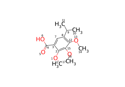 COc1c(C(=O)O)cc(C(C)C)c(OC)c1OC